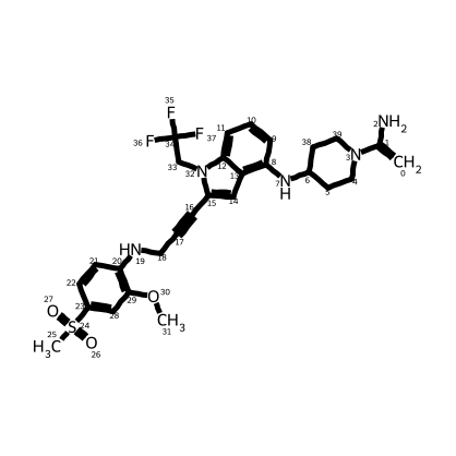 C=C(N)N1CCC(Nc2cccc3c2cc(C#CCNc2ccc(S(C)(=O)=O)cc2OC)n3CC(F)(F)F)CC1